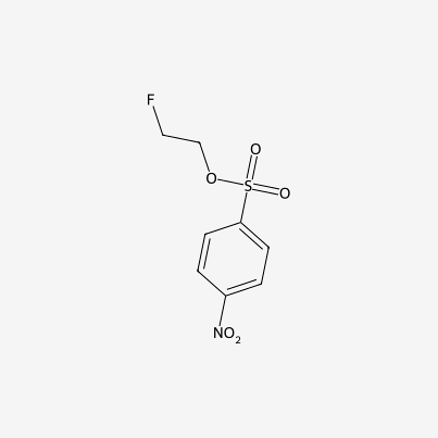 O=[N+]([O-])c1ccc(S(=O)(=O)OCCF)cc1